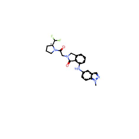 Cn1ncc2cc(Nc3cccc4c3C(=O)N(CC(=O)N3CCC[C@H]3C(F)F)C4)ccc21